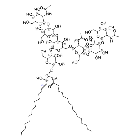 CCCCCCCCCCCCC/C=C/[C@@H](O)[C@H](CO[C@@H]1OC(CO)[C@@H](O[C@@H]2OC(CO[C@@H]3OC(CO)[C@@H](O[C@@H]4OC(CO)[C@H](O[C@@H]5OC(CO)[C@H](O)[C@H](O)C5NC(C)=O)[C@H](O)C4O)[C@H](O)C3NC(C)=O)[C@H](O)[C@H](O[C@H]3OC(CO)[C@H](O)[C@H](O[C@@H]4OC(CO)[C@H](O)[C@H](O)C4NC(C)=O)C3O)C2O)[C@H](O)C1O)NC(=O)CCCCCCCCCCCCCCC